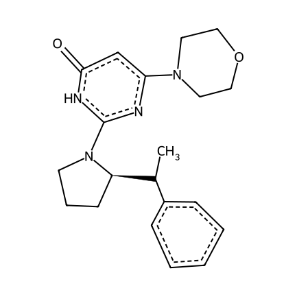 CC(c1ccccc1)[C@H]1CCCN1c1nc(N2CCOCC2)cc(=O)[nH]1